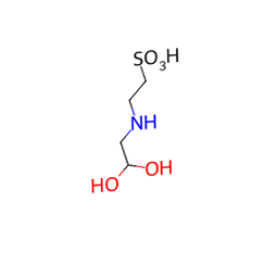 O=S(=O)(O)CCNCC(O)O